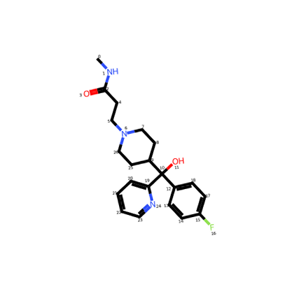 CNC(=O)CCN1CCC(C(O)(c2ccc(F)cc2)c2ccccn2)CC1